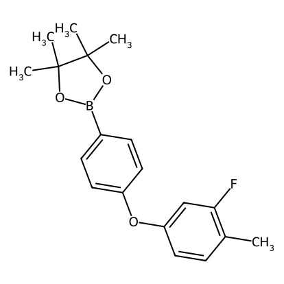 Cc1ccc(Oc2ccc(B3OC(C)(C)C(C)(C)O3)cc2)cc1F